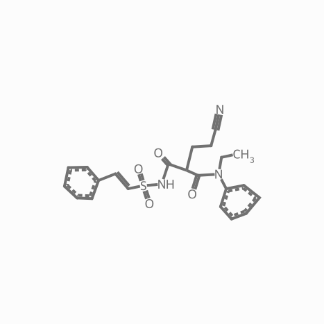 CCN(C(=O)C(CCC#N)C(=O)NS(=O)(=O)C=Cc1ccccc1)c1ccccc1